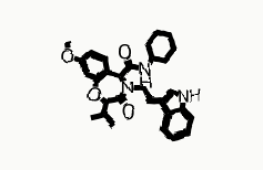 COc1ccc2c(c1)OC(C(C)C)C(=O)N(CCc1c[nH]c3ccccc13)C2C(=O)NC1CCCCC1